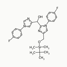 CC(C)(C)[Si](C)(C)OCc1cn(-c2ccc(F)cc2)c(C(O)c2cn(-c3ccc(F)cc3)cn2)n1